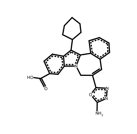 Nc1nnc(C2=Cc3ccccc3-c3c(C4CCCCC4)c4ccc(C(=O)O)cc4n3C2)o1